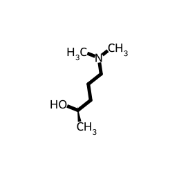 C[C@@H](O)CCCN(C)C